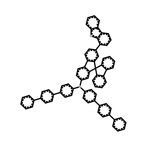 c1ccc(-c2ccc(-c3ccc(N(c4ccc(-c5ccc(-c6ccccc6)cc5)cc4)c4ccc5c(c4)C4(c6ccccc6-c6ccccc64)c4cc(-c6cccc7c6oc6ccccc67)ccc4-5)cc3)cc2)cc1